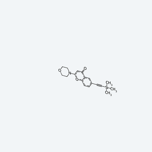 C[Si](C)(C)C#Cc1ccc2oc(N3CCOCC3)cc(=O)c2c1